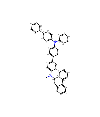 CN(c1ccc(-c2ccc(N(c3ccccc3)c3ccc(-c4ccccc4)cc3)cc2)cc1)c1cc2ccccc2c2ccccc12